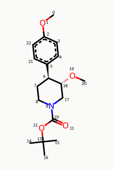 COc1ccc([C@@H]2CCN(C(=O)OC(C)(C)C)C[C@H]2OC)cc1